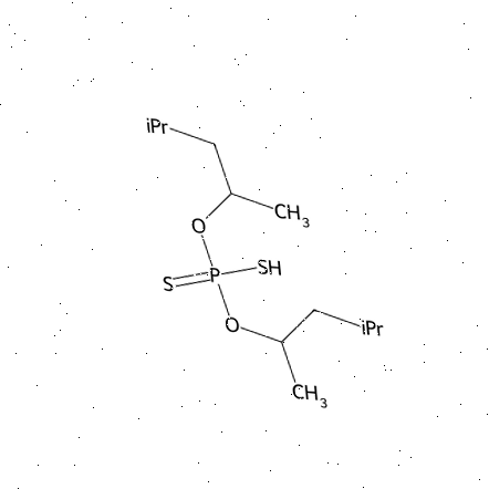 CC(C)CC(C)OP(=S)(S)OC(C)CC(C)C